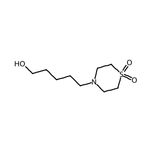 O=S1(=O)CCN(CCCCCO)CC1